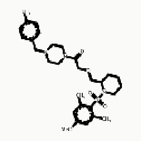 COc1cc(C)c(S(=O)(=O)N2CCCCC2COCC(=O)N2CCN(Cc3ccc(C)cc3)CC2)c(C)c1